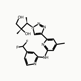 Cc1cc(Nc2cc(C(F)F)ccn2)nc(-c2cn([C@H](C)[C@](C)(O)CO)nn2)c1